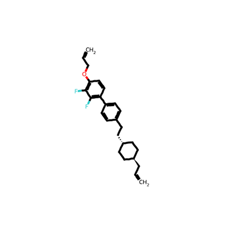 C=CCOc1ccc(-c2ccc(CC[C@H]3CC[C@H](CC=C)CC3)cc2)c(F)c1F